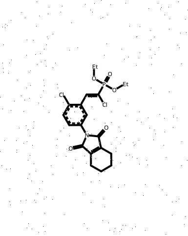 CCOP(=O)(OCC)C(Cl)=Cc1cc(N2C(=O)C3=C(CCCC3)C2=O)ccc1Cl